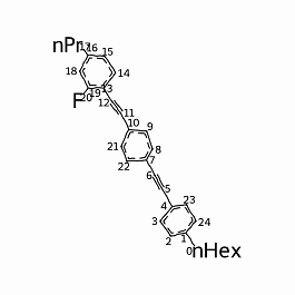 CCCCCCc1ccc(C#Cc2ccc(C#Cc3ccc(CCC)cc3F)cc2)cc1